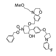 COCCCN1CCOc2ccc(COC3CN(C(=O)OCc4ccccc4)CC(O)C3c3ccc(OC4CCN(c5cccc(F)c5)C4)cc3)cc21